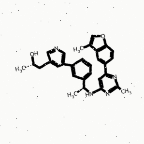 Cc1nc(N[C@@H](C)c2cccc(-c3cncc(C[C@H](C)O)c3)c2)cc(-c2ccc3occ(C)c3c2)n1